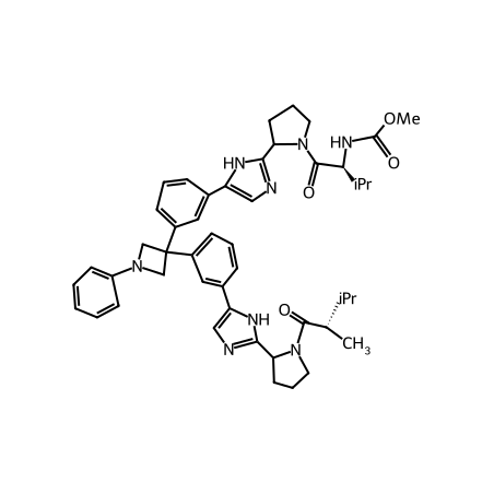 COC(=O)N[C@H](C(=O)N1CCCC1c1ncc(-c2cccc(C3(c4cccc(-c5cnc(C6CCCN6C(=O)[C@@H](C)C(C)C)[nH]5)c4)CN(c4ccccc4)C3)c2)[nH]1)C(C)C